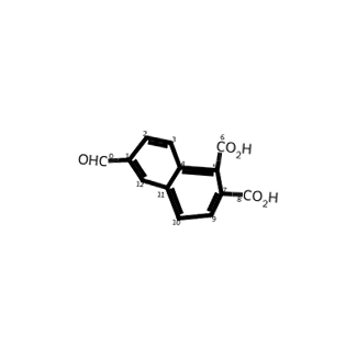 O=Cc1ccc2c(C(=O)O)c(C(=O)O)ccc2c1